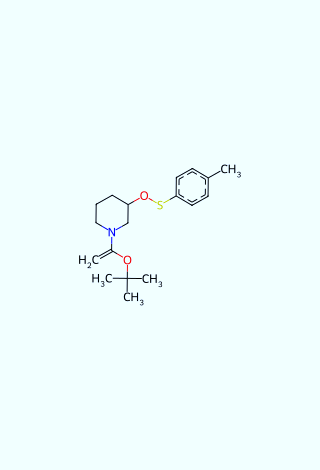 C=C(OC(C)(C)C)N1CCCC(OSc2ccc(C)cc2)C1